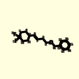 FC1(F)CCC(/C=C/CCOCc2ccccc2)CC1